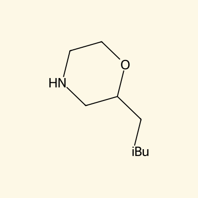 CCC(C)CC1CNCCO1